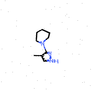 Cc1c[nH]nc1N1CCCCC1